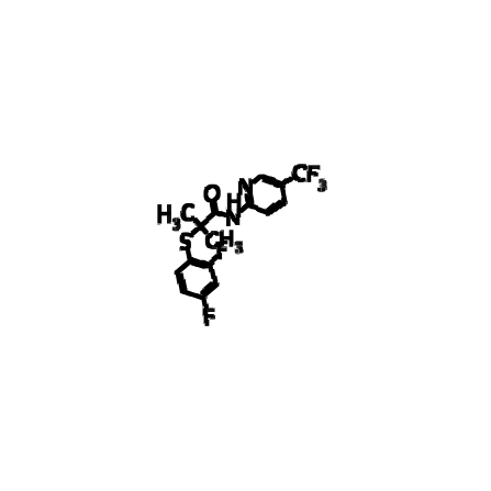 CC(C)(Sc1ccc(F)cc1F)C(=O)Nc1ccc(C(F)(F)F)cn1